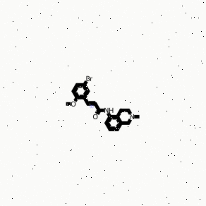 COc1ccc(Br)cc1/C=C/C(=O)Nc1cccc2c1CCN(C)C2